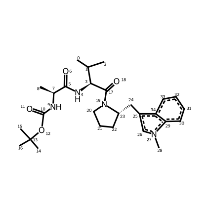 CC(C)[C@H](NC(=O)[C@H](C)NC(=O)OC(C)(C)C)C(=O)N1CCC[C@H]1Cc1cn(C)c2ccccc12